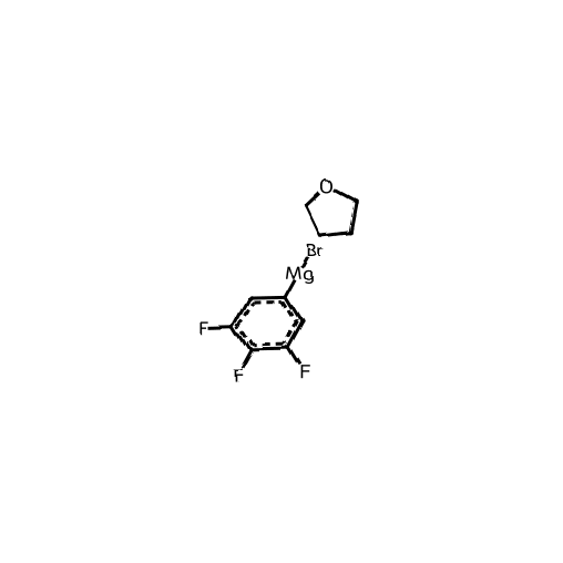 C1CCOC1.Fc1c[c]([Mg][Br])cc(F)c1F